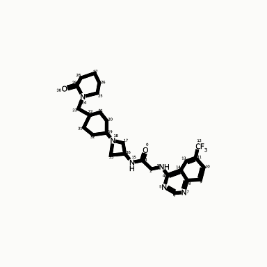 O=C(CNc1ncnc2ccc(C(F)(F)F)cc12)NC1CN(C2CCC(CN3CCCCC3=O)CC2)C1